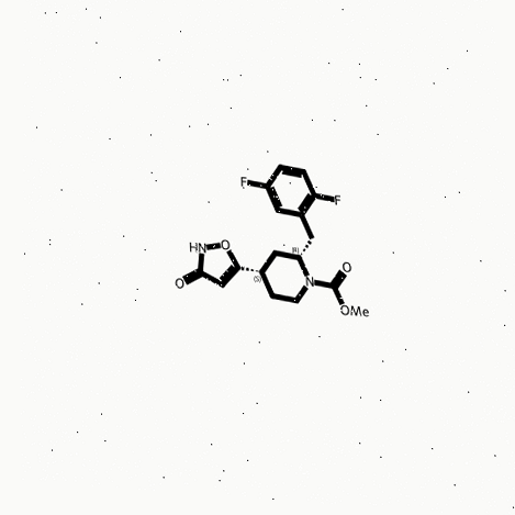 COC(=O)N1CC[C@H](c2cc(=O)[nH]o2)C[C@@H]1Cc1cc(F)ccc1F